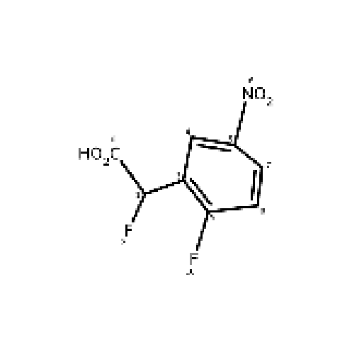 O=C(O)C(F)c1cc([N+](=O)[O-])ccc1F